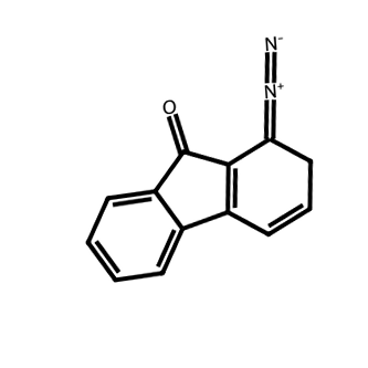 [N-]=[N+]=C1CC=CC2=C1C(=O)c1ccccc12